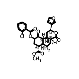 COC(=O)[C@@H]1CC(OC(=O)c2ccccc2Cl)C(=O)[C@H]2[C@@]1(N)CC[C@H]1C(=O)O[C@H](c3ccoc3)C[C@]21N